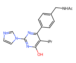 CC(=O)NCc1ccc(-c2nc(-n3ccnc3)nc(O)c2C(C)C)cc1